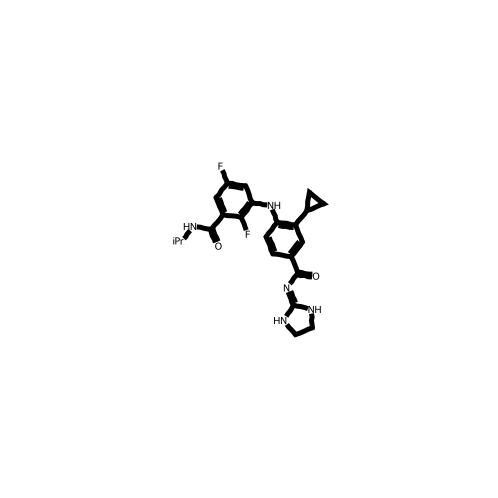 CC(C)NC(=O)c1cc(F)cc(Nc2ccc(C(=O)N=C3NCCN3)cc2C2CC2)c1F